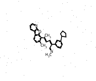 C/N=C/C(=C\C=C(/C)c1c(C)ccc2c1oc1ncccc12)c1cccc(C2CCCC2)c1